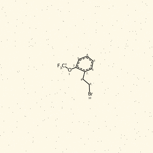 FC(F)(F)Oc1c[c]ccc1CCBr